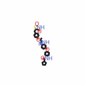 CC(Oc1ccc(CC2SC(=O)NC2=O)cc1)c1nc2ccc(Oc3ccc(NC(=O)C4CCCC4)cc3)cc2[nH]1